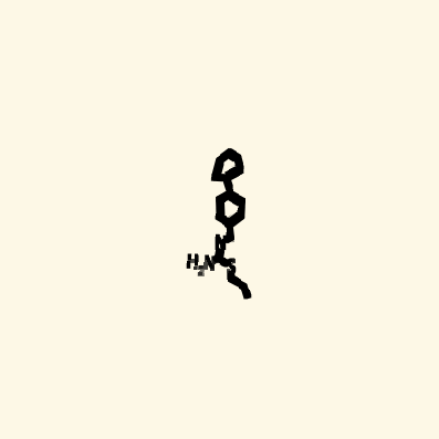 CCCS/C(N)=N\Cc1ccc(-c2ccccc2)cc1